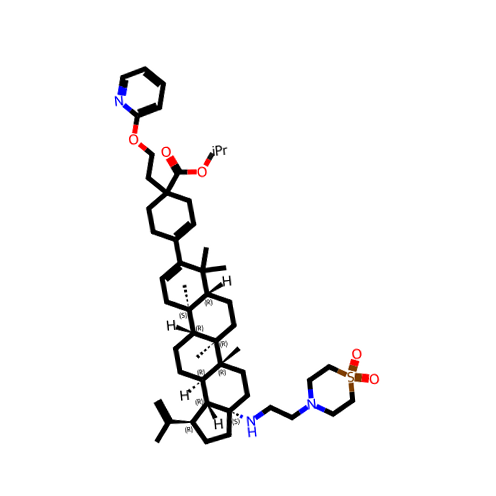 C=C(C)[C@@H]1CC[C@]2(NCCN3CCS(=O)(=O)CC3)CC[C@]3(C)[C@H](CC[C@@H]4[C@@]5(C)CC=C(C6=CCC(CCOc7ccccn7)(C(=O)OC(C)C)CC6)C(C)(C)[C@@H]5CC[C@]43C)[C@@H]12